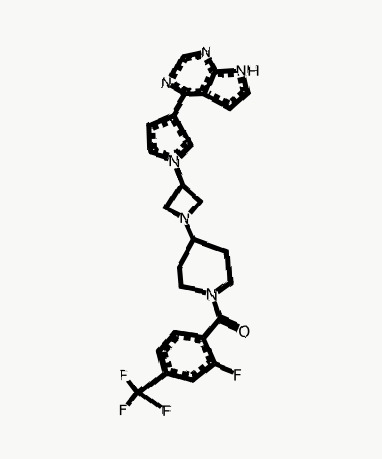 O=C(c1ccc(C(F)(F)F)cc1F)N1CCC(N2C[C](n3ccc(-c4ncnc5[nH]ccc45)c3)C2)CC1